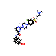 C[C@@H]1CN(c2ccc(S(=O)(=O)CCCN(C)C)cc2F)CCN1c1nccc(C(=O)NC2C3CC4CC2CC(O)(C4)C3)n1